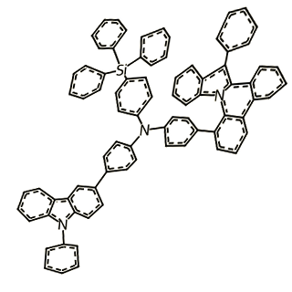 c1ccc(-c2c3ccccc3n3c4c(-c5ccc(N(c6ccc(-c7ccc8c(c7)c7ccccc7n8-c7ccccc7)cc6)c6ccc([Si](c7ccccc7)(c7ccccc7)c7ccccc7)cc6)cc5)cccc4c4ccccc4c23)cc1